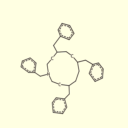 c1ccc(CC2CCC(Cc3ccccc3)CCN(Cc3ccccc3)CCC(Cc3ccccc3)CC2)cc1